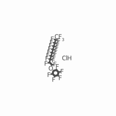 Cl.FC(Oc1c(F)c(F)c(F)c(F)c1F)=C(F)C(F)(F)C(F)(F)C(F)(F)C(F)(F)C(F)(F)C(F)(F)C(F)(F)C(F)(F)F